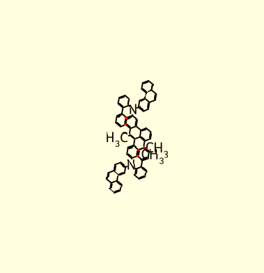 Cc1c2c3c(cccc3c3cc(N(c4ccc5ccc6ccccc6c5c4)c4ccccc4-c4ccccc4)ccc13)C(C)(C)c1cc(N(c3ccc4ccc5ccccc5c4c3)c3ccccc3-c3ccccc3)ccc1-2